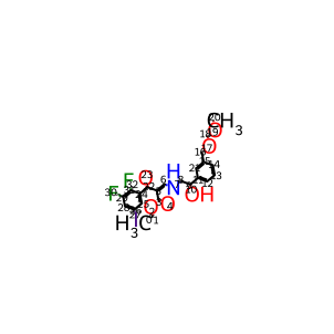 CCOC(=O)/C(=C\NCC(O)c1cccc(COCOC)c1)C(=O)c1cc(I)cc(F)c1F